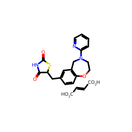 O=C(O)C=CC(=O)O.O=C1NC(=O)C(Cc2ccc3c(c2)CN(c2ccccn2)CCO3)S1